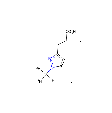 [2H]C([2H])([2H])n1ccc(CCC(=O)O)n1